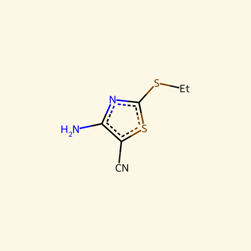 CCSc1nc(N)c(C#N)s1